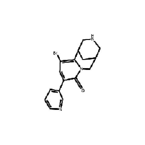 O=c1c(-c2cccnc2)cc(Br)c2n1CC1CNCC2C1